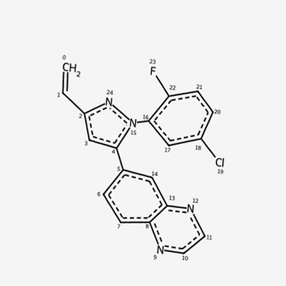 C=Cc1cc(-c2ccc3nccnc3c2)n(-c2cc(Cl)ccc2F)n1